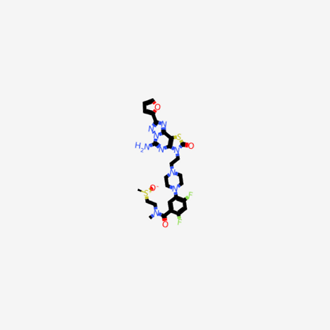 CN(CC[S@@+](C)[O-])C(=O)c1cc(N2CCN(CCn3c(=O)sc4c3nc(N)n3nc(-c5ccco5)nc43)CC2)c(F)cc1F